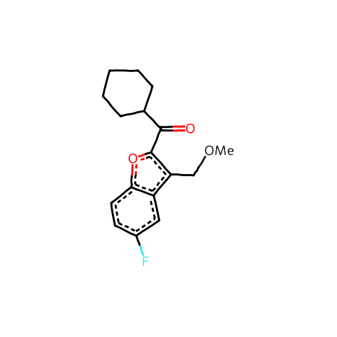 COCc1c(C(=O)C2CCCCC2)oc2ccc(F)cc12